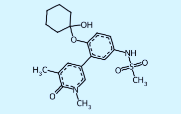 Cc1cc(-c2cc(NS(C)(=O)=O)ccc2OC2(O)CCCCC2)cn(C)c1=O